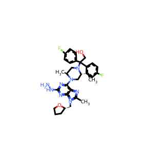 CC[C@@H]1CN(c2nc(NN)nc3c2nc(C)n3C[C@@H]2CCCO2)[C@@H](C)CN1C(CO)(c1ccc(F)cc1)c1ccc(F)cc1